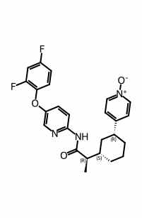 C[C@@H](C(=O)Nc1ccc(Oc2ccc(F)cc2F)cn1)[C@H]1CCC[C@@H](c2cc[n+]([O-])cc2)C1